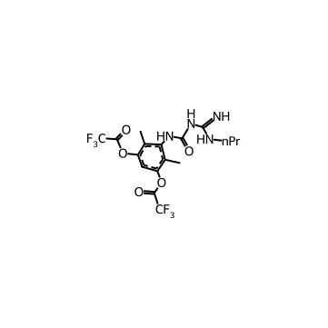 CCCNC(=N)NC(=O)Nc1c(C)c(OC(=O)C(F)(F)F)cc(OC(=O)C(F)(F)F)c1C